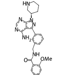 COc1ccccc1C(=O)NCc1cccc(-c2nn([C@@H]3CCCNC3)c3ncnc(N)c23)c1